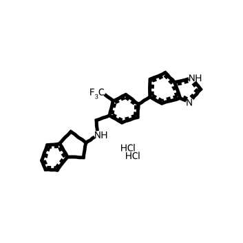 Cl.Cl.FC(F)(F)c1cc(-c2ccc3[nH]cnc3c2)ccc1CNC1Cc2ccccc2C1